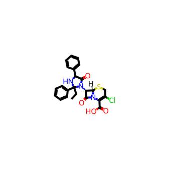 CCC1(c2ccccc2)NC(c2ccccc2)C(=O)N1[C@@H]1C(=O)N2C(C(=O)O)=C(Cl)CS[C@H]12